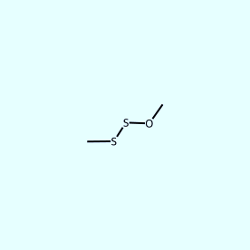 COSSC